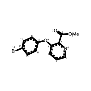 COC(=O)c1ncccc1Oc1ccc(Br)cc1